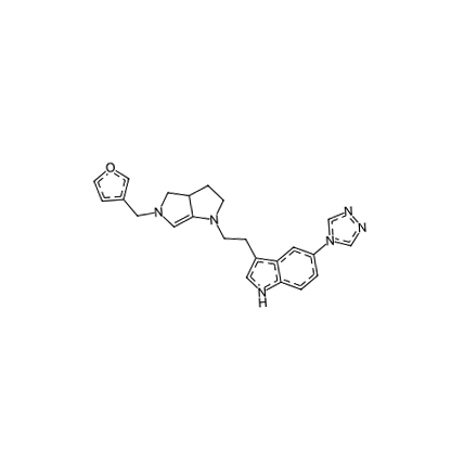 C1=C2C(CCN2CCc2c[nH]c3ccc(-n4cnnc4)cc23)CN1Cc1ccoc1